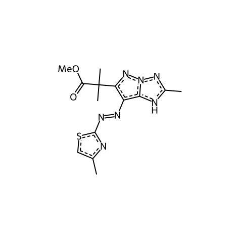 COC(=O)C(C)(C)c1nn2nc(C)[nH]c2c1/N=N/c1nc(C)cs1